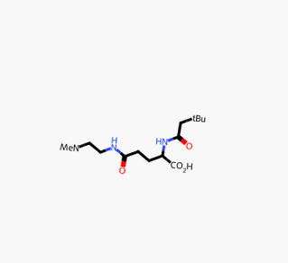 CNCCNC(=O)CCC(NC(=O)CC(C)(C)C)C(=O)O